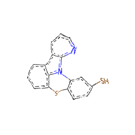 Sc1ccc2c(c1)-n1c3ncccc3c3cccc(c31)S2